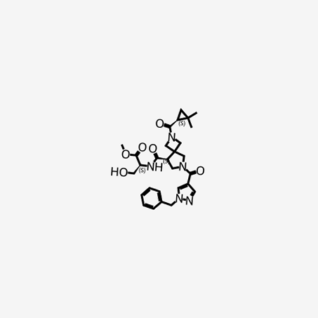 COC(=O)[C@H](CO)NC(=O)[C@@H]1CN(C(=O)c2cnn(Cc3ccccc3)c2)CC12CN(C(=O)[C@H]1CC1(C)C)C2